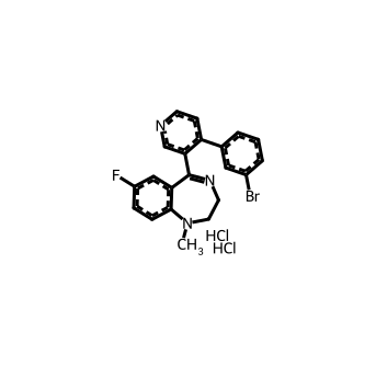 CN1CCN=C(c2cnccc2-c2cccc(Br)c2)c2cc(F)ccc21.Cl.Cl